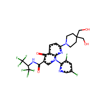 O=C(NC(C(F)(F)F)C(F)(F)F)c1cn(-c2ncc(F)cc2F)c2nc(N3CCC(CO)(CO)CC3)ccc2c1=O